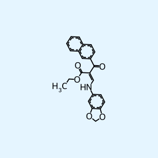 CCOC(=O)C(=CNc1ccc2c(c1)OCO2)C(=O)c1ccc2ccccc2c1